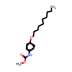 [CH2]OC(=O)Nc1ccc(OCCCCCCCCCC)cc1